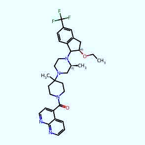 CCO[C@@H]1Cc2cc(C(F)(F)F)ccc2C1N1CCN(C2(C)CCN(C(=O)c3ccnc4ncccc34)CC2)C[C@@H]1C